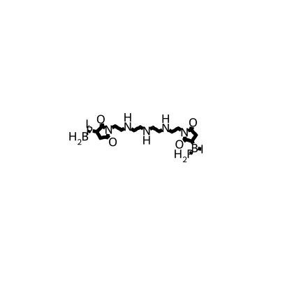 BP(I)C1CC(=O)N(CCNCCNCCNCCN2C(=O)CC(B(P)I)C2=O)C1=O